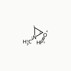 CN1CC1.O=P